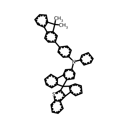 CC1(C)c2ccccc2-c2ccc(-c3ccc(N(c4ccccc4)c4ccc5c(c4)-c4ccccc4C54c5ccccc5-c5c4sc4ccccc54)cc3)cc21